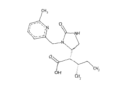 CC[C@H](C)[C@H](C(=O)O)C1CNC(=O)N1Cc1cccc(C)n1